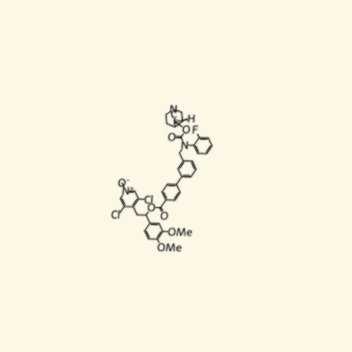 COc1ccc(C(Cc2c(Cl)c[n+]([O-])cc2Cl)OC(=O)c2ccc(-c3cccc(CN(C(=O)O[C@H]4CN5CCC4CC5)c4ccccc4F)c3)cc2)cc1OC